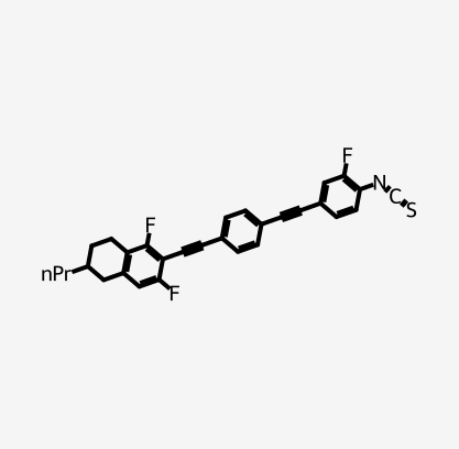 CCCC1CCc2c(cc(F)c(C#Cc3ccc(C#Cc4ccc(N=C=S)c(F)c4)cc3)c2F)C1